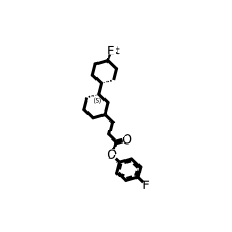 CC[C@H]1CC[C@H]([C@H]2CCCC(CCC(=O)Oc3ccc(F)cc3)C2)CC1